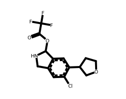 O=C(OC1NCc2cc(Cl)c(C3CCOC3)cc21)C(F)(F)F